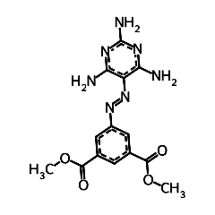 COC(=O)c1cc(N=Nc2c(N)nc(N)nc2N)cc(C(=O)OC)c1